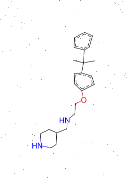 CC(C)(c1ccccc1)c1ccc(OCCNCC2CCNCC2)cc1